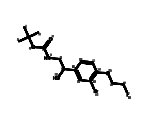 CC(C)(C)OC(=O)NCC(O)c1ccc(OCCF)c(Br)c1